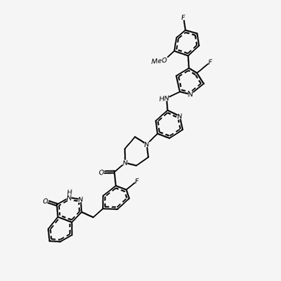 COc1cc(F)ccc1-c1cc(Nc2cc(N3CCN(C(=O)c4cc(Cc5n[nH]c(=O)c6ccccc56)ccc4F)CC3)ccn2)ncc1F